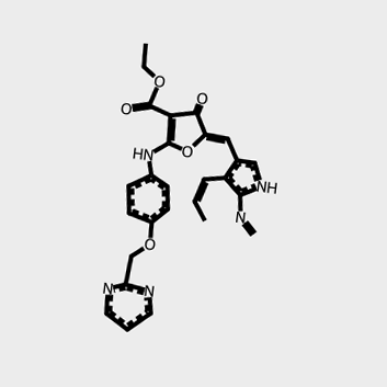 C=Nc1[nH]cc(/C=C2\OC(Nc3ccc(OCc4ncccn4)cc3)=C(C(=O)OCC)C2=O)c1/C=C\C